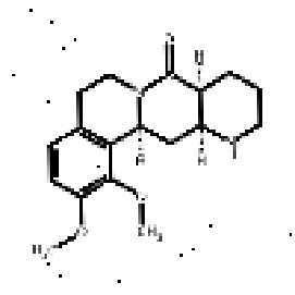 COc1ccc2c(c1OC)[C@@H]1C[C@@H]3NCCC[C@@H]3C(=O)N1CC2